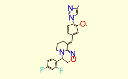 COc1cc(/C=C2\CCCN3C2=NOCC3c2ccc(F)cc2F)ccc1-n1cnc(C)c1